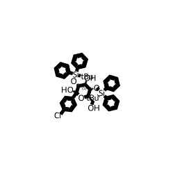 CC(C)(C)[Si](O[C@H]1[C@H](O)[C@@H](O[Si](c2ccccc2)(c2ccccc2)C(C)(C)C)[C@@](O)(c2ccc(Cl)cc2)O[C@@H]1CO)(c1ccccc1)c1ccccc1